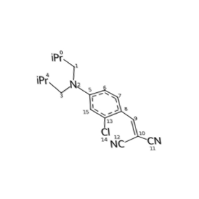 CC(C)CN(CC(C)C)c1ccc(C=C(C#N)C#N)c(Cl)c1